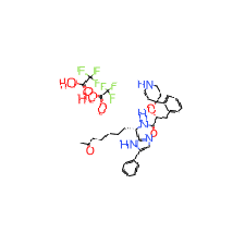 CC(=O)CCCCC[C@H](NC(=O)C1Cc2ccccc2C2(CCNCC2)O1)c1ncc(-c2ccccc2)[nH]1.O=C(O)C(F)(F)F.O=C(O)C(F)(F)F